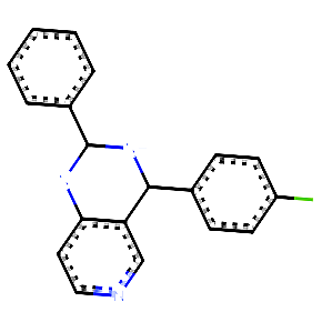 Fc1ccc(C2NC(c3ccccc3)Nc3ccncc32)cc1